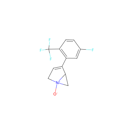 [O-][N+]12CC=C(c3cc(F)ccc3C(F)(F)F)C1C2